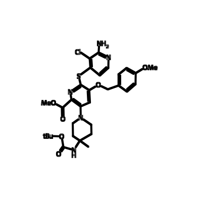 COC(=O)c1nc(Sc2ccnc(N)c2Cl)c(OCc2ccc(OC)cc2)cc1N1CCC(C)(NC(=O)OC(C)(C)C)CC1